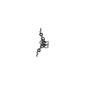 CCCCc1ccc(C2CCN(C(=CCl)C(=O)C(=CCl)N3CCC(c4ccc(CCCC)cc4)CC3)CC2)cc1